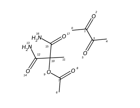 CC(=O)C(C)=O.CC(=O)OC(C)(C(N)=O)C(N)=O